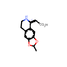 CC1Oc2cc3c(cc2O1)/C(=C\C(=O)O)NCC3